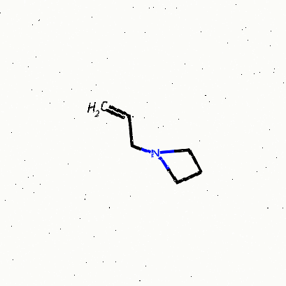 C=[C]CN1CCC1